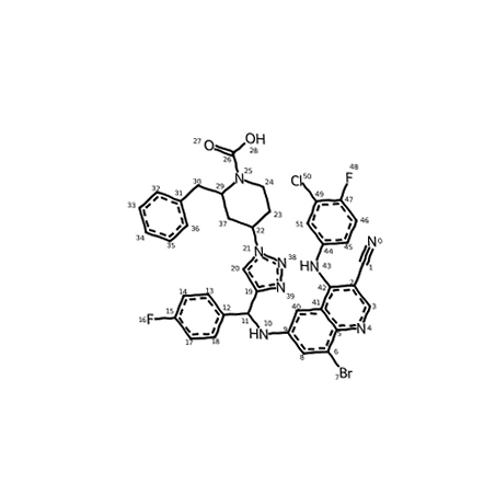 N#Cc1cnc2c(Br)cc(NC(c3ccc(F)cc3)c3cn(C4CCN(C(=O)O)C(Cc5ccccc5)C4)nn3)cc2c1Nc1ccc(F)c(Cl)c1